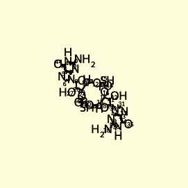 Nc1nc2c(ncn2[C@@H]2O[C@@H]3CO[P@](=O)(S)OC4[C@@H](CO[P@](=O)(S)OC3[C@@H]2O)O[C@@H](n2cnc3c(=O)[nH]c(N)nc32)[C@H]4O)c(=O)[nH]1